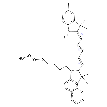 CCN1\C(=C/C=C/C=C/C2=[N+](CCCCSOOO)c3ccc4ccccc4c3C2(C)C)C(C)(C)c2cc(C)ccc21